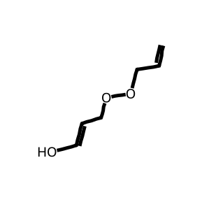 C=CCOOCC=CO